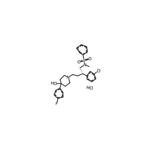 CN(C[C@@H](CCN1CCC(O)(c2ccc(F)cc2)CC1)c1cccc(Cl)c1)S(=O)(=O)c1ccccc1.Cl